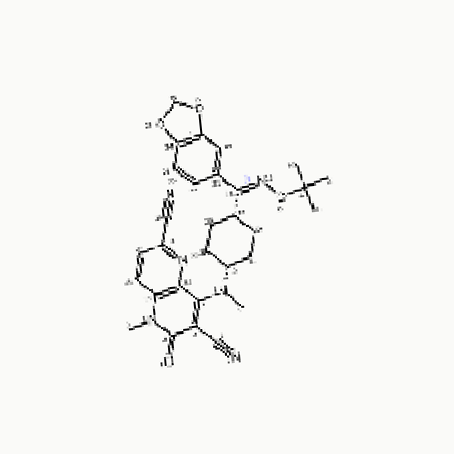 Cn1c(=O)c(C#N)c(N(C)[C@H]2CC[C@@H](/C(=N\OC(C)(C)C)c3ccc4c(c3)OCO4)CC2)c2nc(C#N)ccc21